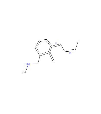 C=c1c(CNCC)ccc/c1=C/C=C\C